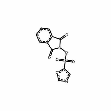 O=C1c2ccccc2C(=O)N1OS(=O)(=O)c1cnco1